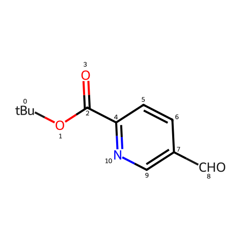 CC(C)(C)OC(=O)c1ccc(C=O)cn1